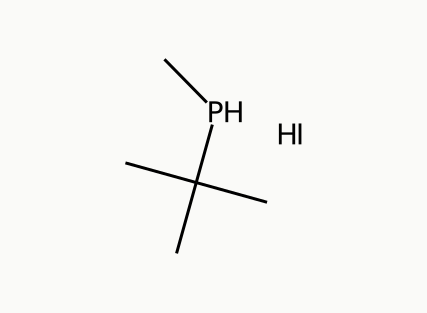 CPC(C)(C)C.I